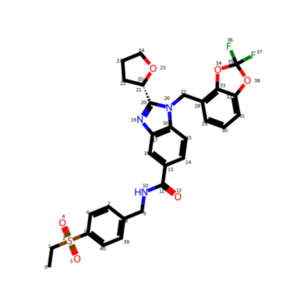 CCS(=O)(=O)c1ccc(CNC(=O)c2ccc3c(c2)nc([C@@H]2CCCO2)n3Cc2cccc3c2OC(F)(F)O3)cc1